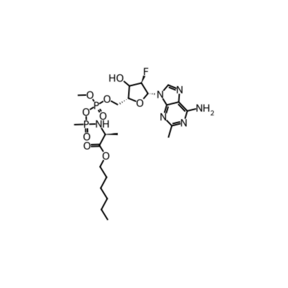 CCCCCCOC(=O)[C@H](C)NP(C)(=O)OP(=O)(OC)OC[C@H]1O[C@@H](n2cnc3c(N)nc(C)nc32)[C@H](F)C1O